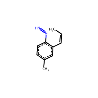 C/C=C\c1cc(C)ccc1N=N